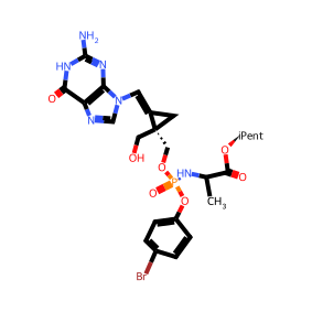 CCC[C@H](C)OC(=O)C(C)N[P@](=O)(OC[C@@]1(CO)C/C1=C/n1cnc2c(=O)[nH]c(N)nc21)Oc1ccc(Br)cc1